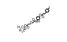 COC(C)OC(=O)CCOCC(=O)Nc1ccc(OC(=O)/C=C/c2ccc(I)cc2)cc1